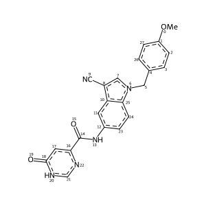 COc1ccc(Cn2cc(C#N)c3cc(NC(=O)c4cc(=O)[nH]cn4)ccc32)cc1